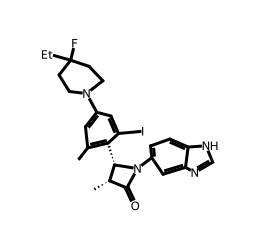 CCC1(F)CCN(c2cc(C)c([C@H]3[C@@H](C)C(=O)N3c3ccc4[nH]cnc4c3)c(I)c2)CC1